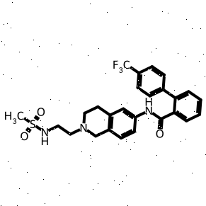 CS(=O)(=O)NCCN1CCc2cc(NC(=O)c3ccccc3-c3ccc(C(F)(F)F)cc3)ccc2C1